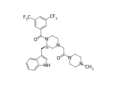 CN1CCN(C(=O)CN2CCN(C(=O)c3cc(C(F)(F)F)cc(C(F)(F)F)c3)[C@H](Cc3c[nH]c4ccccc34)C2)CC1